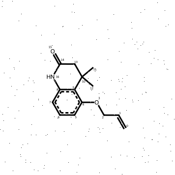 C=CCOc1cccc2c1C(C)(C)CC(=O)N2